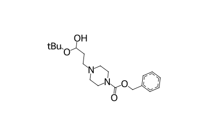 CC(C)(C)OC(O)CCN1CCN(C(=O)OCc2ccccc2)CC1